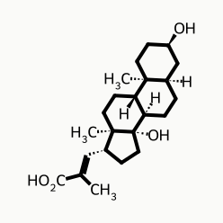 C/C(=C\[C@H]1CC[C@]2(O)[C@@H]3CC[C@@H]4C[C@H](O)CC[C@]4(C)[C@H]3CC[C@]12C)C(=O)O